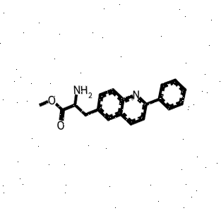 COC(=O)C(N)Cc1ccc2nc(-c3ccccc3)ccc2c1